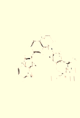 CC1(C)Cc2nc(N3CCOc4ccc(-c5cn6cccnc6n5)cc43)sc2C(=O)N1